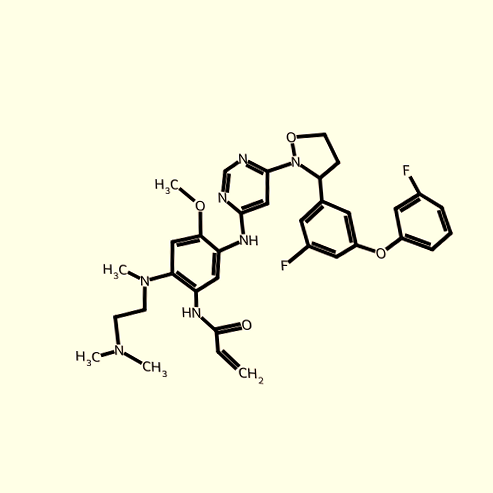 C=CC(=O)Nc1cc(Nc2cc(N3OCCC3c3cc(F)cc(Oc4cccc(F)c4)c3)ncn2)c(OC)cc1N(C)CCN(C)C